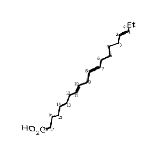 CCC=CCCCCC=CCC=CCCCCCCC(=O)O